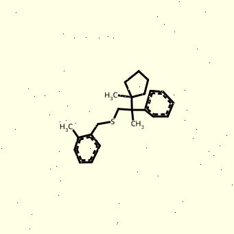 Cc1ccccc1CSCC(C)(c1ccccc1)C1(C)CCCC1